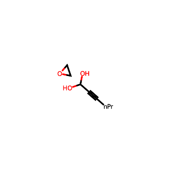 C1CO1.CCCC#CC(O)O